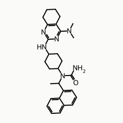 CC(c1cccc2ccccc12)N(C(N)=O)C1CCC(Nc2nc3c(c(N(C)C)n2)CCCC3)CC1